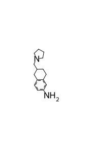 Nc1ccc2c(c1)CCC(CN1CCCC1)C2